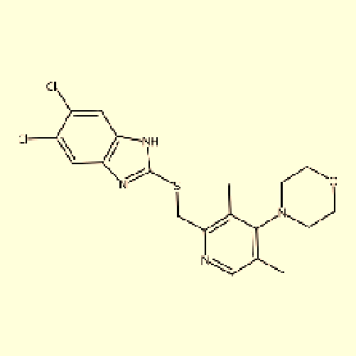 Cc1cnc(CSc2nc3cc(Cl)c(Cl)cc3[nH]2)c(C)c1N1CCOCC1